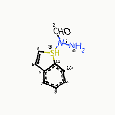 NN(C=O)[SH]1C=Cc2ccccc21